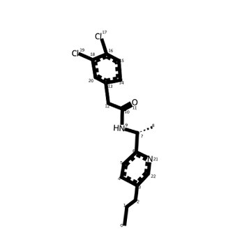 CCCc1ccc([C@@H](C)NC(=O)Cc2ccc(Cl)c(Cl)c2)nc1